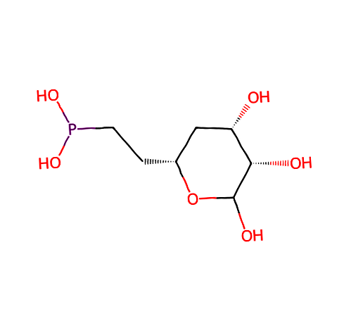 OC1O[C@H](CCP(O)O)C[C@H](O)[C@@H]1O